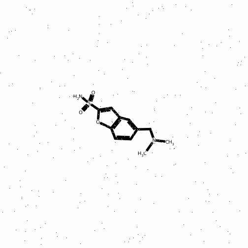 CN(C)Cc1ccc2oc(S(N)(=O)=O)cc2c1